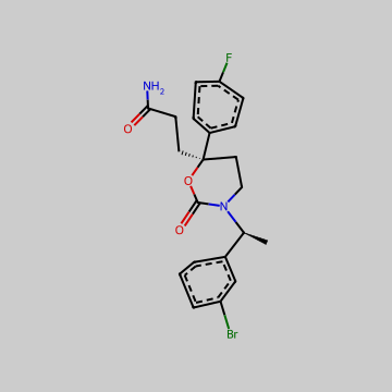 C[C@@H](c1cccc(Br)c1)N1CC[C@](CCC(N)=O)(c2ccc(F)cc2)OC1=O